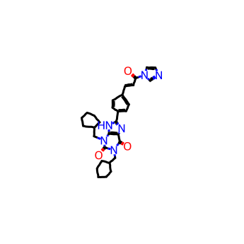 O=C(/C=C/c1ccc(-c2nc3c(=O)n(CC4CCCCC4)c(=O)n(CC4CCCCC4)c3[nH]2)cc1)n1ccnc1